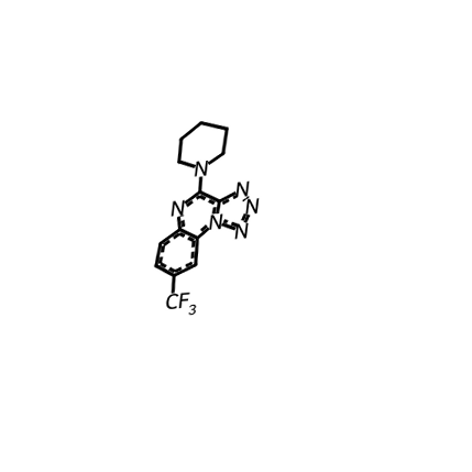 FC(F)(F)c1ccc2nc(N3CCCCC3)c3nnnn3c2c1